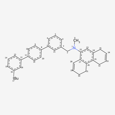 CN(Cc1cccc(-c2ccc(-c3cccc(C(C)(C)C)c3)cc2)c1)c1cc2c(c3c1C=CCC3)CC=CC2